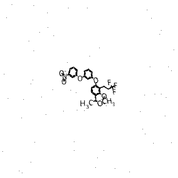 COc1c(C(C)=O)ccc(Oc2cccc(Oc3cccc([N+](=O)[O-])c3)c2)c1CCC(F)(F)F